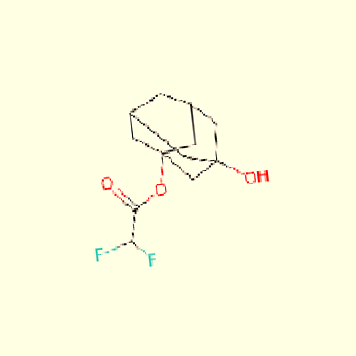 O=C(OC12CC3CC(CC(O)(C3)C1)C2)C(F)F